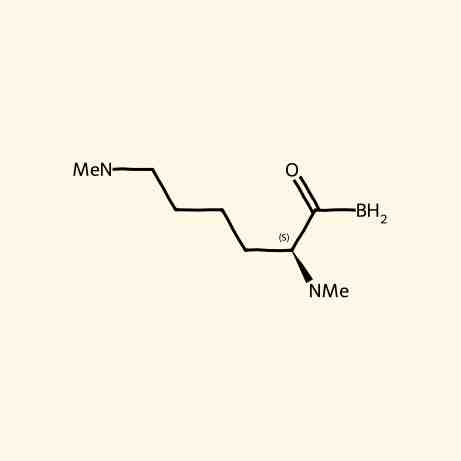 BC(=O)[C@H](CCCCNC)NC